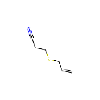 C=CCSCCC#N